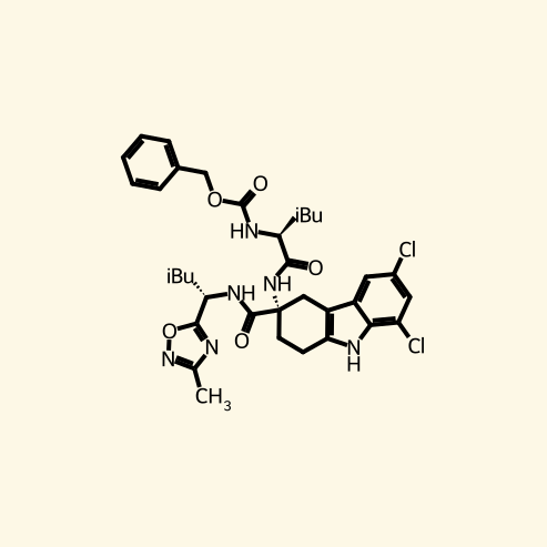 CCC(C)[C@H](NC(=O)OCc1ccccc1)C(=O)N[C@@]1(C(=O)N[C@H](c2nc(C)no2)C(C)CC)CCc2[nH]c3c(Cl)cc(Cl)cc3c2C1